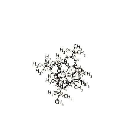 CC1=C(C)C(C)C([Si](c2c(C)cc([Si](C)(C)C)cc2[Si](C)(C)C)(c2c(C)cc([Si](C)(C)C)cc2[Si](C)(C)C)c2c(C)cc([Si](C)(C)C)cc2[Si](C)(C)C)=C1C